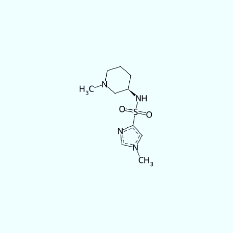 CN1CCC[C@@H](NS(=O)(=O)c2cn(C)cn2)C1